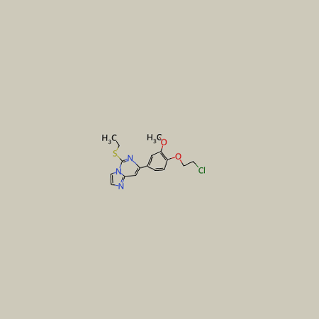 CCSc1nc(-c2ccc(OCCCl)c(OC)c2)cc2nccn12